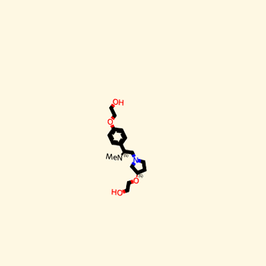 CN[C@H](CN1CC[C@H](OCCO)C1)c1ccc(OCCO)cc1